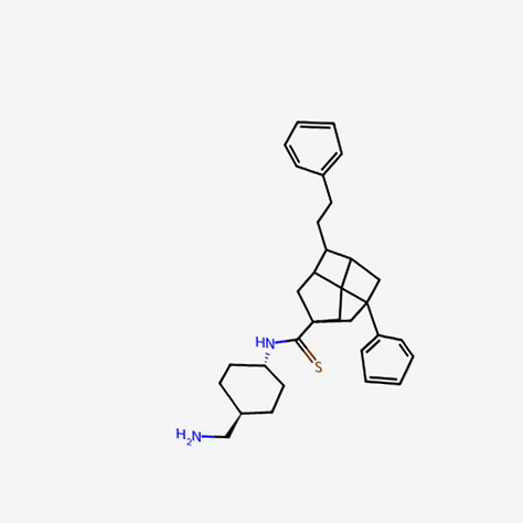 NC[C@H]1CC[C@H](NC(=S)C23CC4C(CCc5ccccc5)C5CC(c6ccccc6)(C2)C45C3)CC1